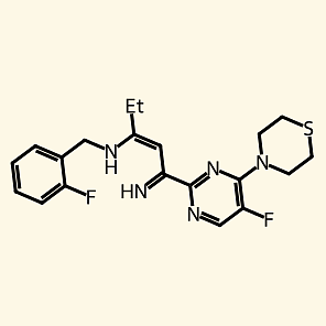 CC/C(=C/C(=N)c1ncc(F)c(N2CCSCC2)n1)NCc1ccccc1F